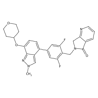 Cn1cc2c(-c3cc(F)c(CN4Cc5ncccc5C4=O)c(F)c3)ccc(OC3CCOCC3)c2n1